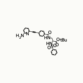 CC(C)(C)OC(=O)C(CNC(=O)c1ccc(C#Cc2cccc(N)n2)cc1)NS(=O)(=O)c1ccccc1